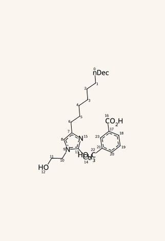 CCCCCCCCCCCCCCCCc1cn(CCO)c(C)n1.O=C(O)c1cccc(C(=O)O)c1